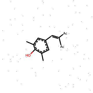 CC(=O)C(=Cc1cc(C)c(O)c(C)c1)C(C)=O